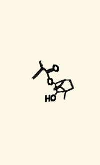 C=C(C)C(=O)OC1C2CCC(C)(C2=C)C1O